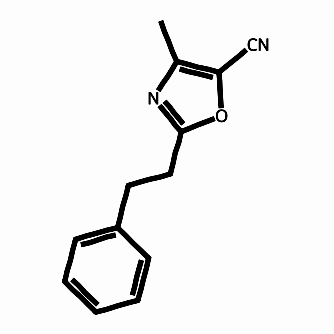 Cc1nc(CCc2ccccc2)oc1C#N